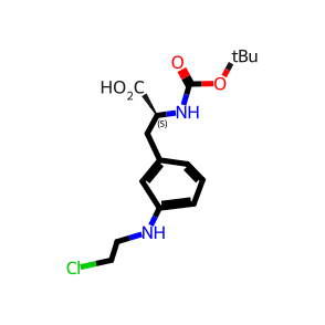 CC(C)(C)OC(=O)N[C@@H](Cc1cccc(NCCCl)c1)C(=O)O